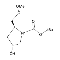 COOC[C@@H]1C[C@@H](O)CN1C(=O)OC(C)(C)C